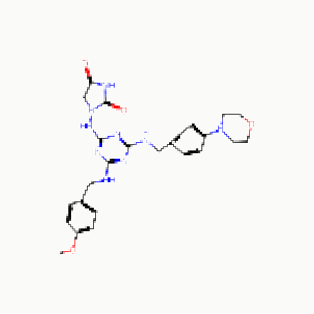 COc1ccc(CNc2nc(NCc3ccc(N4CCOCC4)cc3)nc(NN3CC(=O)NC3=O)n2)cc1